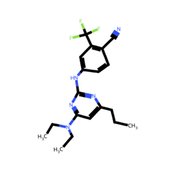 CCCc1cc(N(CC)CC)nc(Nc2ccc(C#N)c(C(F)(F)F)c2)n1